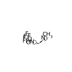 Cc1cccc(C#CC=C2CCN(C(=O)OC(C(F)(F)F)C(F)(F)F)CC2)n1